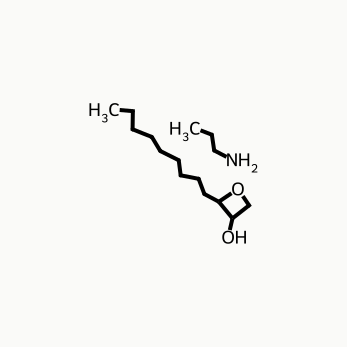 CCCCCCCCCC1OCC1O.CCCN